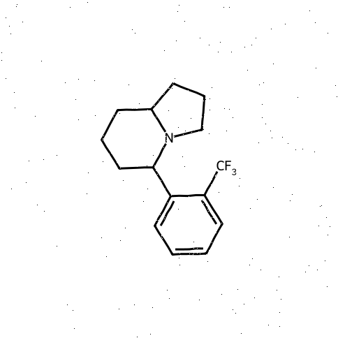 FC(F)(F)c1ccccc1C1CCCC2CCCN21